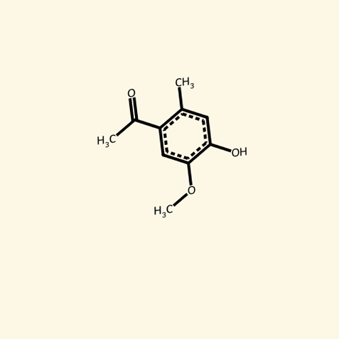 COc1cc(C(C)=O)c(C)cc1O